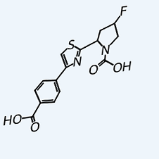 O=C(O)c1ccc(-c2csc(C3CC(F)CN3C(=O)O)n2)cc1